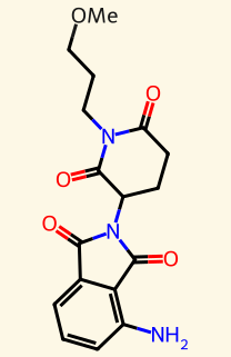 COCCCN1C(=O)CCC(N2C(=O)c3cccc(N)c3C2=O)C1=O